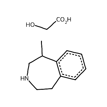 CC1CNCCc2ccccc21.O=C(O)CO